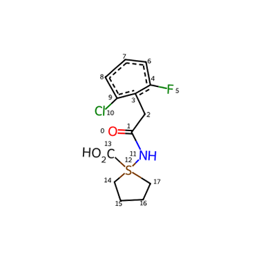 O=C(Cc1c(F)cccc1Cl)NS1(C(=O)O)CCCC1